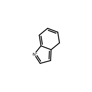 C1=CCC2=CC=[N+]C2=C1